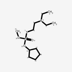 CCN(CC)CCSP(=O)(OC)OC1CCCC1